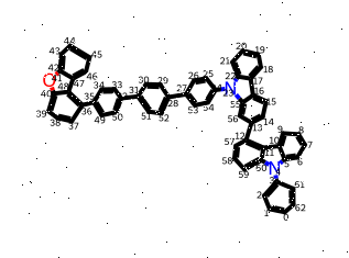 c1ccc(-n2c3ccccc3c3c(-c4ccc5c6ccccc6n(-c6ccc(-c7ccc(-c8ccc(-c9cccc%10oc%11ccccc%11c9%10)cc8)cc7)cc6)c5c4)cccc32)cc1